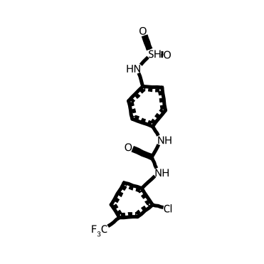 O=C(Nc1ccc(N[SH](=O)=O)cc1)Nc1ccc(C(F)(F)F)cc1Cl